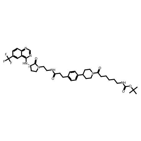 CC(C)(C)OC(=O)NCCCCCC(=O)N1CCC(c2ccc(CCC(=O)NCCN3CC[C@H](Nc4ncnc5ccc(C(F)(F)F)cc45)C3=O)cc2)CC1